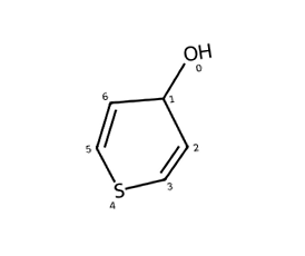 OC1C=CSC=C1